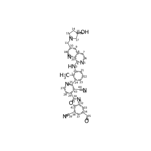 Cc1c(Nc2nccc3cc(CN4CC[C@@H](O)C4)cnc23)cccc1-c1nccc(-c2nc3cc(C=O)cc(C#N)c3o2)c1C#N